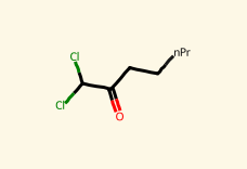 CCCCCC(=O)C(Cl)Cl